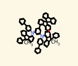 CC1(c2ccccc2)c2ccccc2-c2c(N(c3ccc(-c4ccccc4)cc3)c3cc(-c4cccc5c4-c4ccccc4C54c5ccccc5-c5ccccc54)cc(N(c4ccc(-c5ccccc5)cc4)c4cccc5c4-c4ccccc4C5(C)c4ccccc4)c3)cccc21